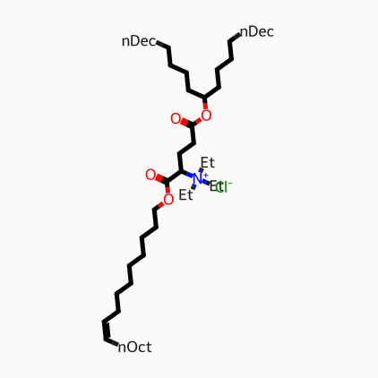 CCCCCCCC/C=C\CCCCCCCCOC(=O)C(CCC(=O)OC(CCCCCCCCCCCCCC)CCCCCCCCCCCCCC)[N+](CC)(CC)CC.[Cl-]